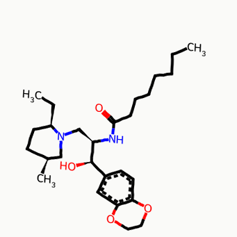 CCCCCCCC(=O)N[C@H](CN1C[C@@H](C)CC[C@H]1CC)[C@H](O)c1ccc2c(c1)OCCO2